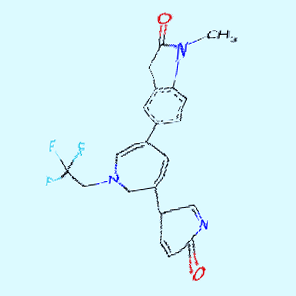 CN1C(=O)Cc2cc(C3=CN(CC(F)(F)F)CC(C4C=CC(=O)N=C4)=C3)ccc21